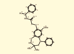 CCCCC1(CCCC)CN(c2ccccc2)c2cc(SC)c(OCC(=O)N[C@@H](C(C)=O)c3ccccc3)cc2SN1